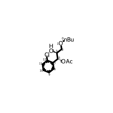 CCCCOC[C@H](O)[C@H](OC(C)=O)c1ccccc1Cl